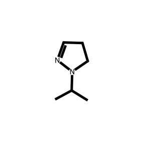 CC(C)N1CCC=N1